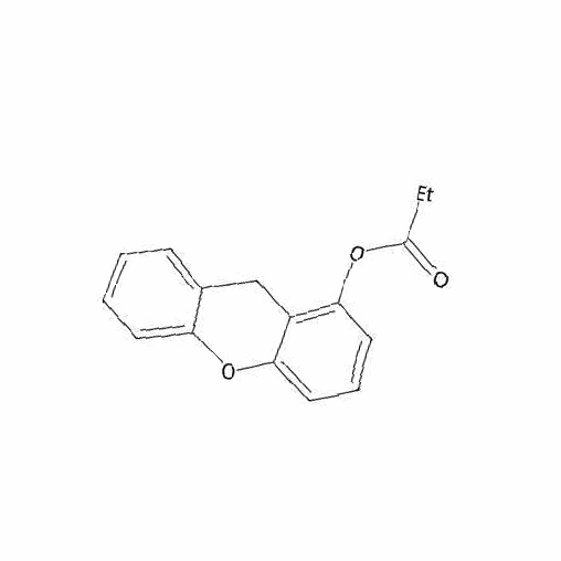 CCC(=O)Oc1cccc2c1Cc1ccccc1O2